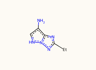 CCc1nc2c(N)c[nH]n2n1